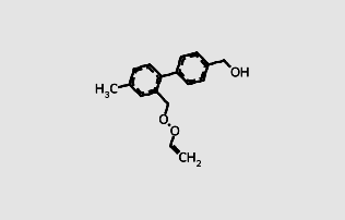 C=COOCc1cc(C)ccc1-c1ccc(CO)cc1